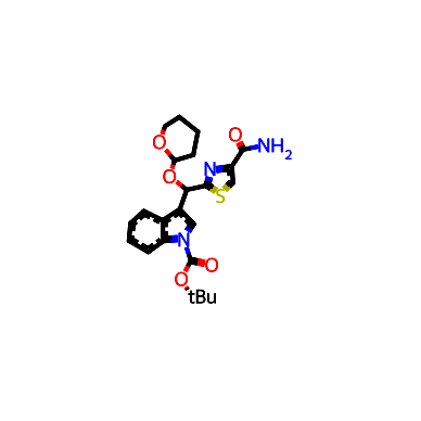 CC(C)(C)OC(=O)n1cc(C(OC2CCCCO2)c2nc(C(N)=O)cs2)c2ccccc21